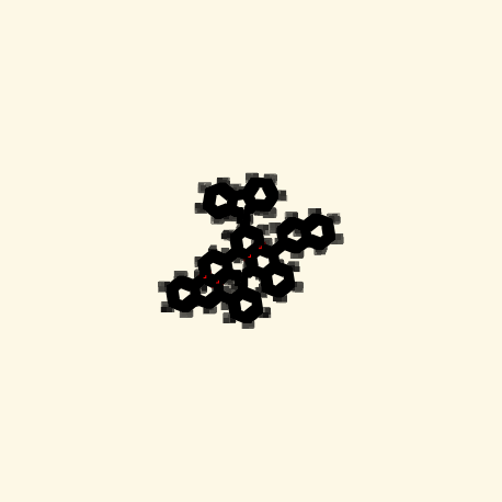 c1cc(-c2ccccc2N(c2ccccc2-c2ccc3ccccc3c2)c2ccc(-c3ccc4ccccc4c3)c3ccccc23)cc(-n2c3ccccc3c3ccccc32)c1